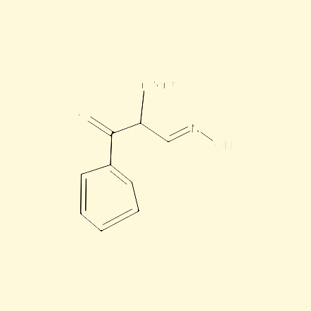 CCCCCC(C=NO)C(=O)c1ccccc1